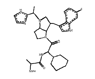 CNC(C)C(=O)NC(C(=O)N1CCC2C1C(c1c[nH]c3cc(F)ccc13)CN2C(C)c1ncc[nH]1)C1CCCCC1